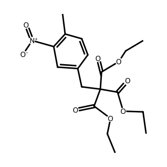 CCOC(=O)C(Cc1ccc(C)c([N+](=O)[O-])c1)(C(=O)OCC)C(=O)OCC